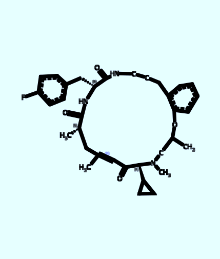 C/C1=C\C(=O)[C@H](C2CC2)N(C)CC(C)Oc2ccccc2CCCNC(=O)[C@@H](Cc2ccc(F)cc2)NC(=O)[C@@H](C)C1